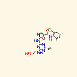 CCc1nc(NCCO)nc(Nc2ncc(C(=O)Nc3c(C)cc(C)cc3Cl)o2)n1